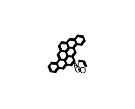 C1=COON=C1.c1ccc2c(c1)cc1ccc3cc4c5ccccc5cc5ccc6cc2c1c3c6c54